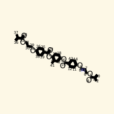 C=C(C)C(=O)OC/C=C/Oc1ccc(C(=O)Oc2ccc(OC(=O)c3ccc(OCCCOC(=O)C(=C)C)cc3)c(C)c2)cc1